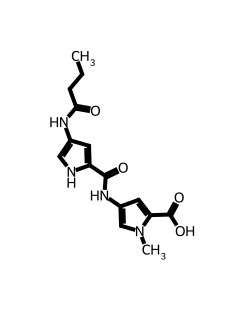 CCCC(=O)Nc1c[nH]c(C(=O)Nc2cc(C(=O)O)n(C)c2)c1